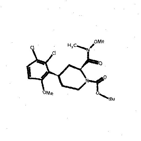 COc1ccc(Cl)c(Cl)c1[C@@H]1CCN(C(=O)OC(C)(C)C)[C@H](C(=O)N(C)OC)C1